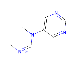 C/N=C\N(C)c1cncnc1